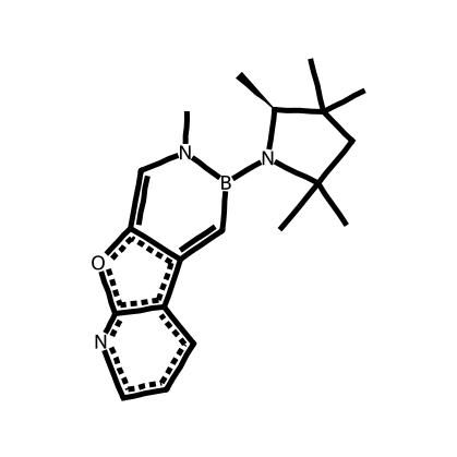 C[C@@H]1N(B2C=c3c(oc4ncccc34)=CN2C)C(C)(C)CC1(C)C